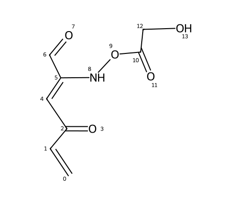 C=CC(=O)C=C(C=O)NOC(=O)CO